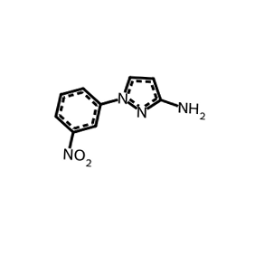 Nc1ccn(-c2cccc([N+](=O)[O-])c2)n1